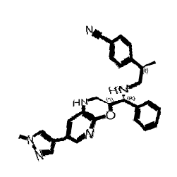 C[C@@H](CN[C@H](c1ccccc1)[C@@H]1CNc2cc(-c3cnn(C)c3)cnc2O1)c1ccc(C#N)cc1